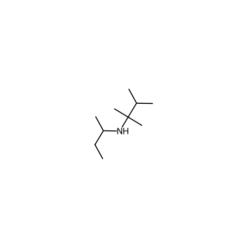 CCC(C)NC(C)(C)C(C)C